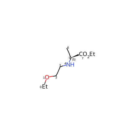 CCOCCN[C@@H](C)C(=O)OCC